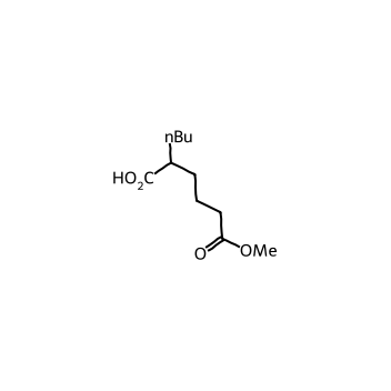 CCCCC(CCCC(=O)OC)C(=O)O